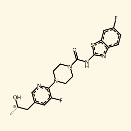 C[C@H](O)Cc1cnc(N2CCN(C(=O)Nc3nc4ccc(F)cc4s3)CC2)c(F)c1